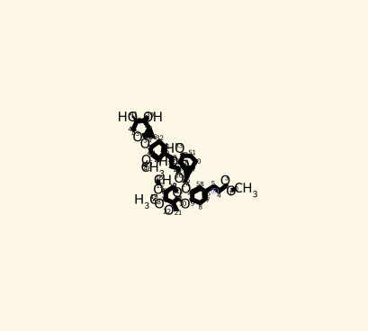 COC(=O)/C=C/C1=CCC(O[C@@H]2OC[C@@H](OC)C(OC)C23CO3)C(OCOC(CCC2=CCC(OC34CC3C(O)[C@H](O)CO4)C(OC)=C2)O[C@@]23CCC(O)C(O)C2C3)=C1